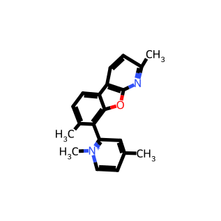 Cc1cc[n+](C)c(-c2c(C)ccc3c2oc2nc(C)ccc23)c1